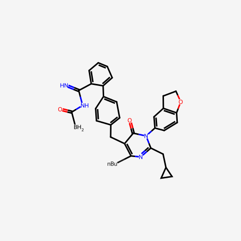 BC(=O)NC(=N)c1ccccc1-c1ccc(Cc2c(CCCC)nc(CC3CC3)n(-c3ccc4c(c3)CCO4)c2=O)cc1